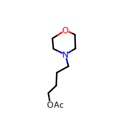 CC(=O)OCCCCN1CCOCC1